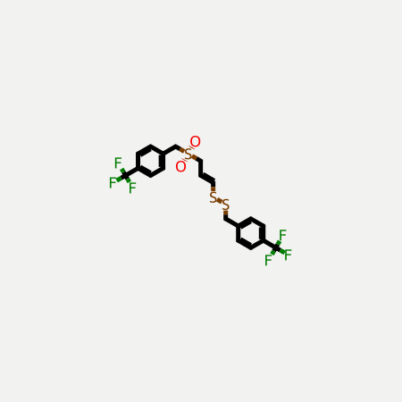 O=S(=O)(CC=CSSCc1ccc(C(F)(F)F)cc1)Cc1ccc(C(F)(F)F)cc1